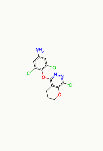 Nc1cc(Cl)c(Oc2nnc(Cl)c3c2CCCO3)c(Cl)c1